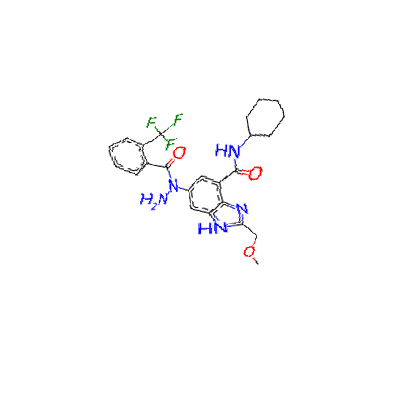 COCc1nc2c(C(=O)NC3CCCCC3)cc(N(N)C(=O)c3ccccc3C(F)(F)F)cc2[nH]1